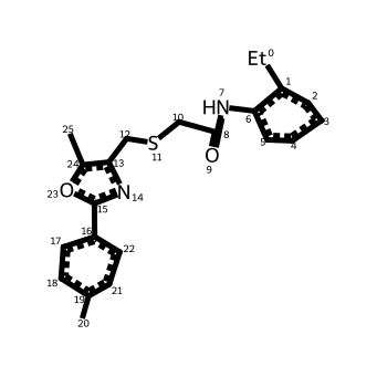 CCc1ccccc1NC(=O)CSCc1nc(-c2ccc(C)cc2)oc1C